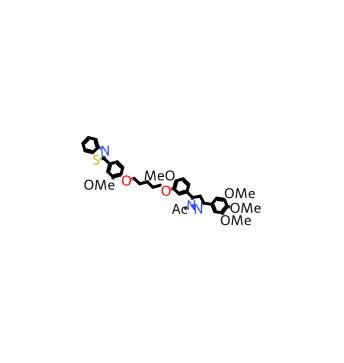 COc1cc(-c2nc3ccccc3s2)ccc1OCCCCCOc1cc(C2CC(c3cc(OC)c(OC)c(OC)c3)=NN2C(C)=O)ccc1OC